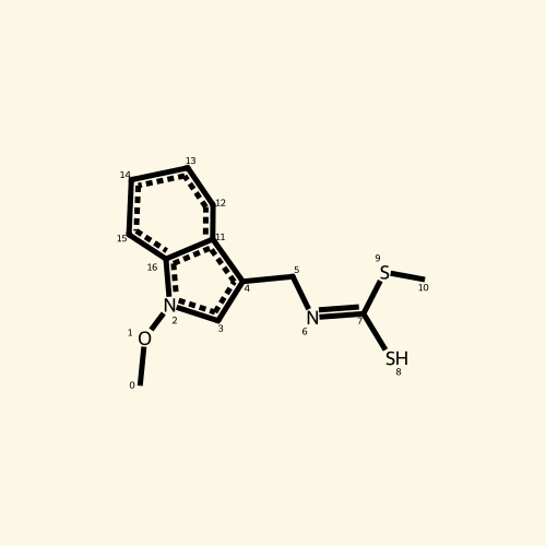 COn1cc(CN=C(S)SC)c2ccccc21